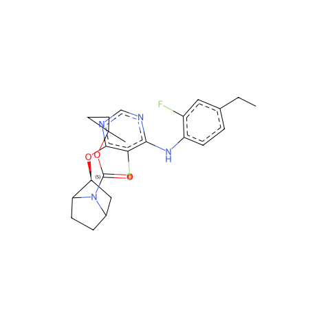 CCc1ccc(Nc2ncnc(O[C@H]3CC4CCC3N4C(=O)OC3(C)CC3)c2F)c(F)c1